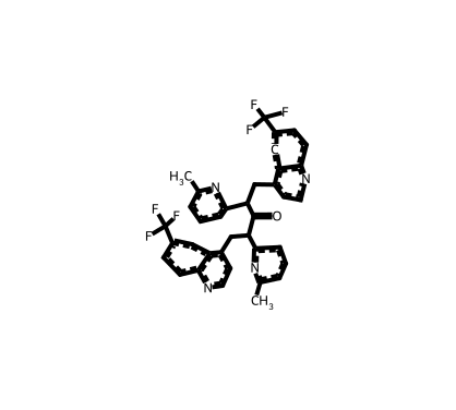 Cc1cccc(C(Cc2ccnc3ccc(C(F)(F)F)cc23)C(=O)C(Cc2ccnc3ccc(C(F)(F)F)cc23)c2cccc(C)n2)n1